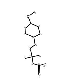 COC1CCC(CSC(C)(C)CC(=O)Cl)CC1